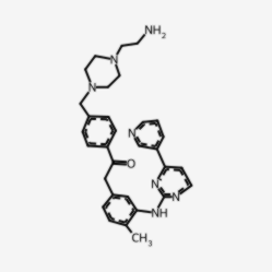 Cc1ccc(CC(=O)c2ccc(CN3CCN(CCN)CC3)cc2)cc1Nc1nccc(-c2cccnc2)n1